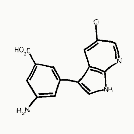 Nc1cc(C(=O)O)cc(-c2c[nH]c3ncc(Cl)cc23)c1